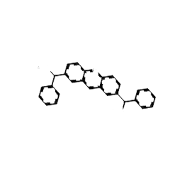 CC(=O)OC(c1ccccc1)c1ccc2nc3ccc(C(OC(C)=O)c4ccccc4)cc3cc2c1